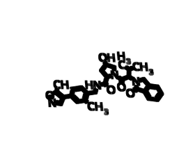 Cc1cc(-c2cnoc2C)ccc1CNC(=O)C1CC(O)CN1C(=O)C(C(C)C)N1Cc2ccccc2C1=O